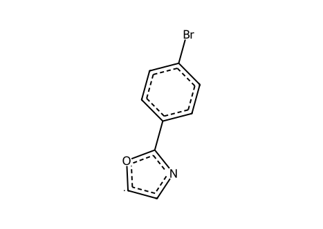 Brc1ccc(-c2nc[c]o2)cc1